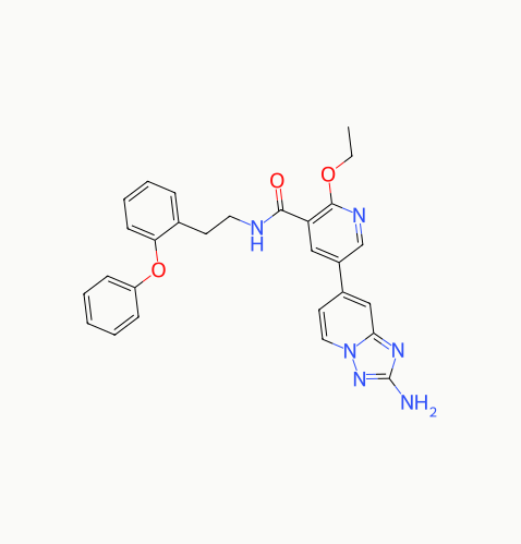 CCOc1ncc(-c2ccn3nc(N)nc3c2)cc1C(=O)NCCc1ccccc1Oc1ccccc1